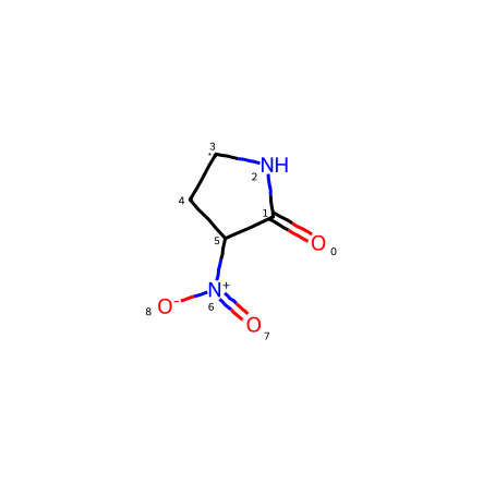 O=C1N[CH]CC1[N+](=O)[O-]